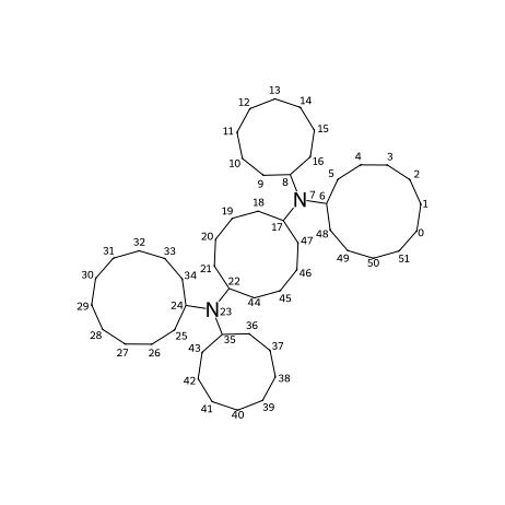 C1CCCCCC(N(C2CCCCCCCC2)C2CCCCC(N(C3CCCCCCCCCC3)C3CCCCCCCC3)CCCC2)CCCC1